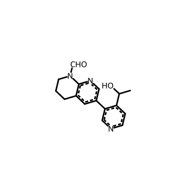 CC(O)c1ccncc1-c1cnc2c(c1)CCCN2C=O